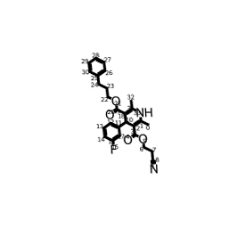 CC1=C(C(=O)OCCC#N)C(c2cccc(F)c2)C(C(=O)OCCCc2ccccc2)=C(C)N1